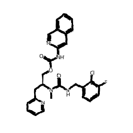 CN(C(=O)NCc1cccc(F)c1Cl)[C@H](COC(=O)Nc1cc2ccccc2cn1)Cc1ccccn1